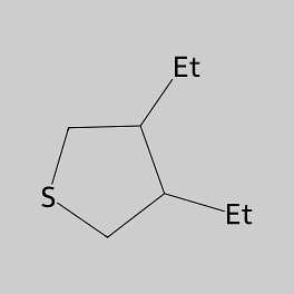 CCC1CSCC1CC